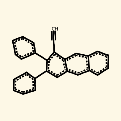 C#Cc1c(-c2ccccc2)c(-c2ccccc2)cc2cc3ccccc3cc12